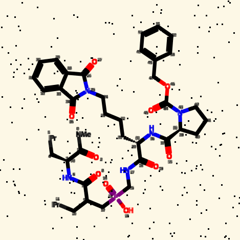 CNC(=O)[C@H](CC(C)C)NC(=O)C(CC(C)C)CP(=O)(O)CNC(=O)[C@H](CCCCN1C(=O)c2ccccc2C1=O)NC(=O)[C@@H]1CCCN1C(=O)OCc1ccccc1